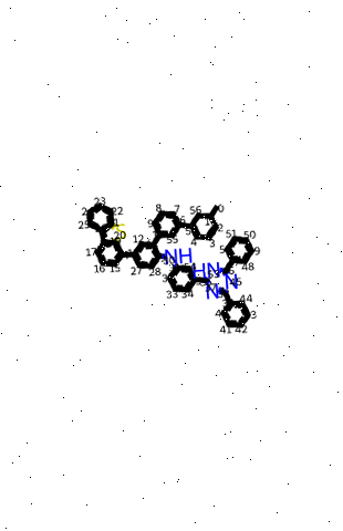 CC1C=CC=C(c2cccc(-c3cc(-c4cccc5c4sc4ccccc45)ccc3Nc3cccc(C4N=C(c5ccccc5)N=C(c5ccccc5)N4)c3)c2)C1